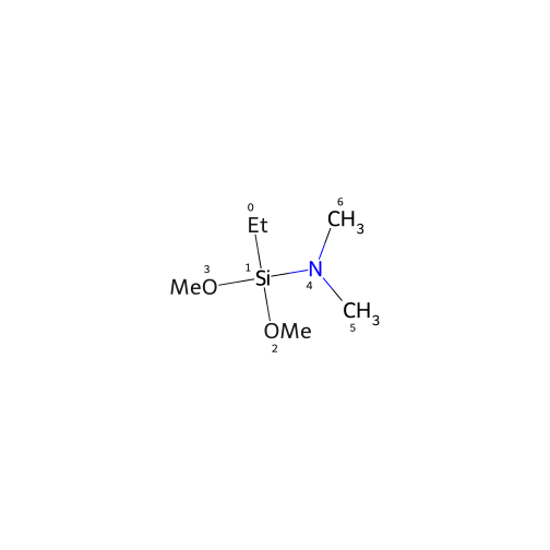 CC[Si](OC)(OC)N(C)C